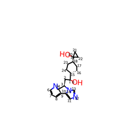 O[C@@H](C[C@@H]1c2ncccc2-c2cncn21)[C@H]1CC[C@H](C2(O)CC2)CC1